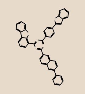 c1ccc(-c2ccc3cc(-c4nc(-c5ccc(-c6cc7ccccc7s6)cc5)nc(-c5cccc6c5sc5ccccc56)n4)ccc3c2)cc1